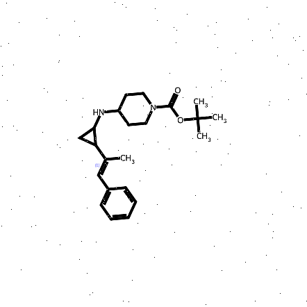 C/C(=C\c1ccccc1)C1CC1NC1CCN(C(=O)OC(C)(C)C)CC1